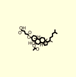 CC(=O)O[C@@H]1C[C@H]2[C@@H]3CC[C@H]([C@H](C)CCCC(C)C)[C@@]3(C)CC[C@@H]2[C@@]2(C)CC[C@H](OC(=O)CCC(=O)O)C[C@]12O